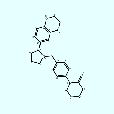 O=C1COCCN1c1ccc(CN2CCC[C@H]2c2ccc3c(c2)OCCO3)cc1